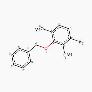 COc1ccc(C(C)=O)c(OC)c1OCc1ccccc1